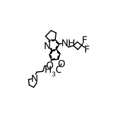 COc1cc2c(NCC3CC(F)(F)C3)c3c(nc2cc1OCCCN1CCCC1)CCC3